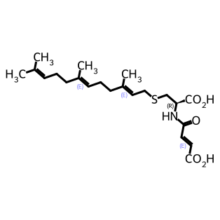 CC(C)=CCC/C(C)=C/CC/C(C)=C/CSC[C@H](NC(=O)/C=C/C(=O)O)C(=O)O